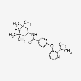 CN(C)c1ncccc1Oc1ccc(C(=O)NC2CC(C)(C)NC(C)(C)C2)cc1